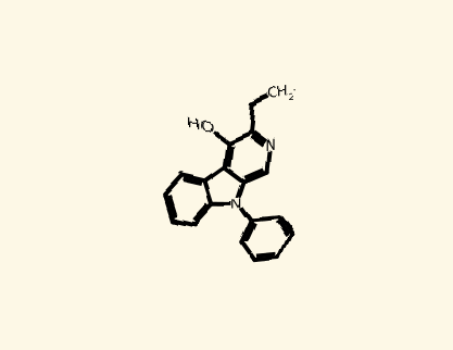 [CH2]Cc1ncc2c(c1O)c1ccccc1n2-c1ccccc1